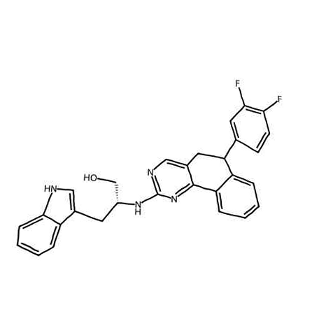 OC[C@@H](Cc1c[nH]c2ccccc12)Nc1ncc2c(n1)-c1ccccc1C(c1ccc(F)c(F)c1)C2